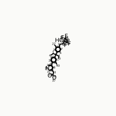 CCC(CC)(c1ccc(CCC(O)(C(F)(F)F)C(F)(F)F)c(C)c1)c1ccc(-c2cncc(CC(=O)OC)c2)c(C)c1